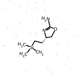 C[Si](C)(C)CC[C@H]1COC(N)=N1